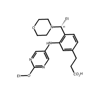 CCOc1ncc(Nc2cc(CCC(=O)O)ccc2[C@@H](CC)N2CCOCC2)cn1